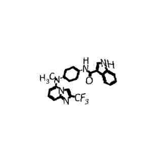 CN(c1cccc2nc(C(F)(F)F)cn12)[C@H]1CC[C@@H](NC(=O)c2c[nH]c3ccccc23)CC1